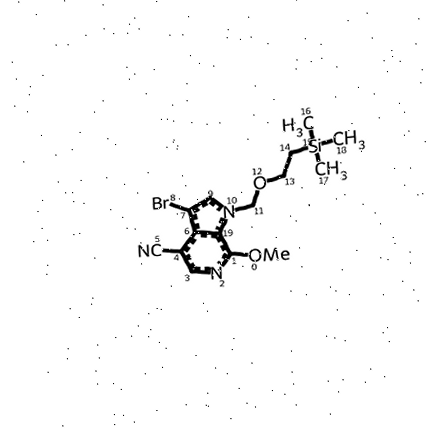 COc1ncc(C#N)c2c(Br)cn(COCC[Si](C)(C)C)c12